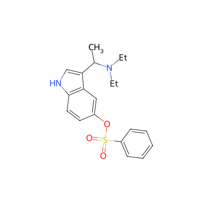 CCN(CC)C(C)c1c[nH]c2ccc(OS(=O)(=O)c3ccccc3)cc12